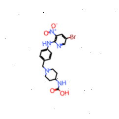 O=C(O)NC1CCN(Cc2ccc(Nc3ncc(Br)cc3[N+](=O)[O-])cc2)CC1